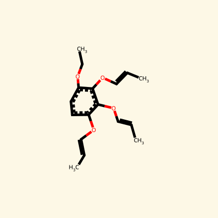 CC=COc1ccc(OCC)c(OC=CC)c1OC=CC